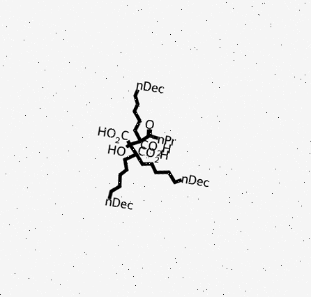 CCCCCCCCCCCCCCCC(CCCCCCCCCCCCCCC)(C(=O)O)C(O)(C(=O)O)C(CCCCCCCCCCCCCCC)(C(=O)O)C(=O)CCC